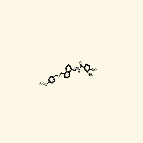 Nc1cc(C(=O)N/N=C/c2cccc3c(COCc4ccc(OC(F)(F)F)cc4)cccc23)ccc1N=O